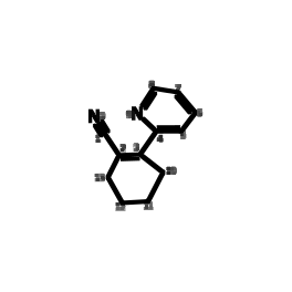 N#CC1=C(c2ccccn2)CCCC1